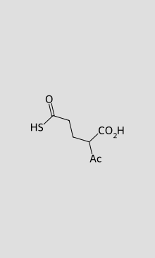 CC(=O)C(CCC(=O)S)C(=O)O